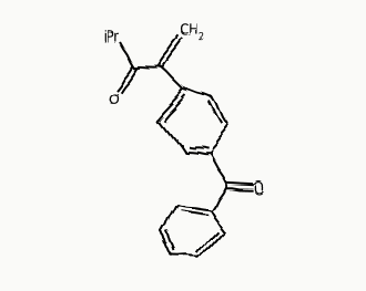 C=C(C(=O)C(C)C)c1ccc(C(=O)c2ccccc2)cc1